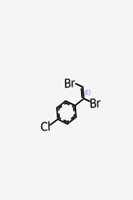 Clc1ccc(/C(Br)=C\Br)cc1